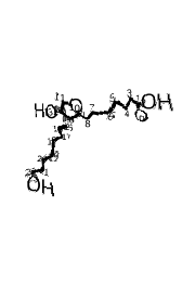 O=C(O)CCCCCC[C@@H]1OC[C@@H](O)[C@H]1C=CCCCCCCO